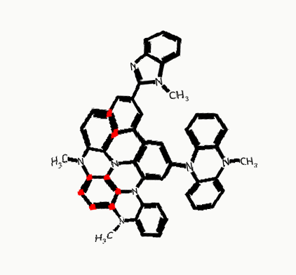 CN1c2ccccc2N(c2cc(-c3cccc(-c4nc5ccccc5n4C)c3)c(N3c4ccccc4N(C)c4ccccc43)c(N3c4ccccc4N(C)c4ccccc43)c2)c2ccccc21